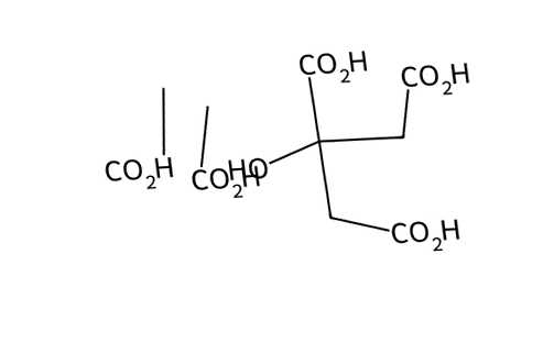 CC(=O)O.CC(=O)O.O=C(O)CC(O)(CC(=O)O)C(=O)O